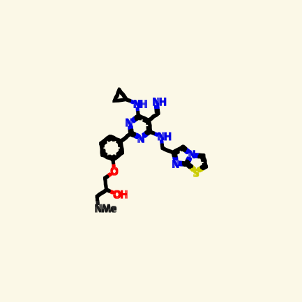 CNCC(O)COc1cccc(-c2nc(NCc3cn4ccsc4n3)c(C=N)c(NC3CC3)n2)c1